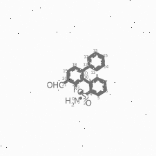 NS(=O)(=O)c1ccccc1-c1c(-c2ccccc2)ccc(C=O)c1F